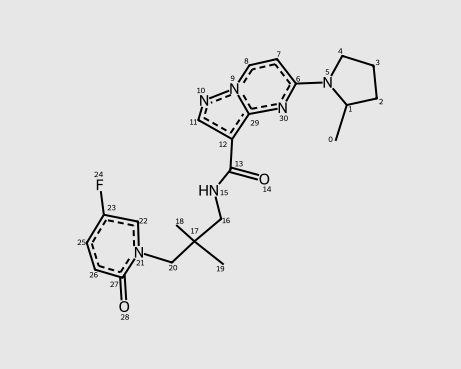 CC1CCCN1c1ccn2ncc(C(=O)NCC(C)(C)Cn3cc(F)ccc3=O)c2n1